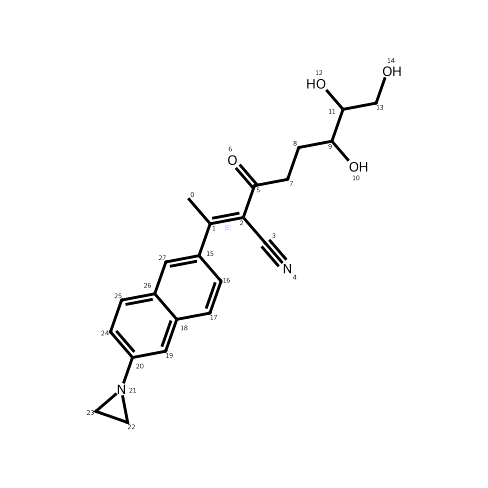 C/C(=C(/C#N)C(=O)CCC(O)C(O)CO)c1ccc2cc(N3CC3)ccc2c1